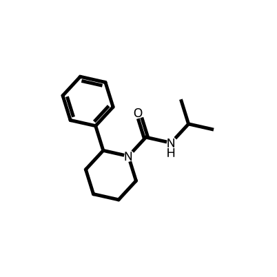 CC(C)NC(=O)N1CCCCC1c1ccccc1